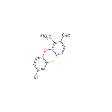 CCOC(=O)c1c(C=O)ccnc1Oc1ccc(CC)cc1F